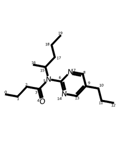 CCCC(=O)N(c1ncc(CCC)cn1)C(C)CCC